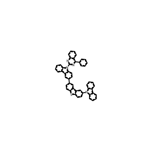 c1ccc(-c2nc(-n3c4ccccc4c4cc(-c5ccc6sc7ccc(-n8c9ccccc9c9ccccc98)cc7c6c5)ccc43)nc3ccccc23)cc1